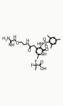 Cc1cc(C)c(S(=O)(=O)Nc2c(CC(=O)NCCONC(=N)N)cc(C)[nH]c2=O)c(C)c1.O=C(O)C(F)(F)F